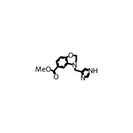 COC(=O)c1ccc2c(c1)N(Cc1c[nH]cn1)CCO2